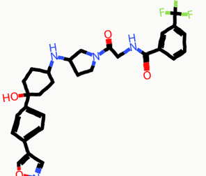 O=C(NCC(=O)N1CCC(NC2CCC(O)(c3ccc(-c4cnoc4)cc3)CC2)C1)c1cccc(C(F)(F)F)c1